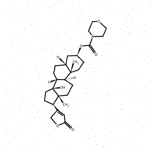 C[C@]12CC[C@H](OC(=O)N3CCOCC3)C[C@H]1CC[C@@H]1[C@@H]2CC[C@]2(C)[C@@H](C3=CC(=O)OC3)CC[C@]12O